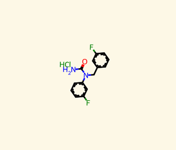 Cl.NC(=O)N(Cc1cccc(F)c1)c1cccc(F)c1